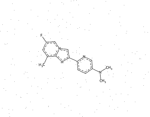 Cc1cc(F)cn2cc(-c3ccc(N(C)C)cn3)nc12